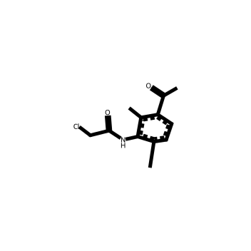 CC(=O)c1ccc(C)c(NC(=O)CCl)c1C